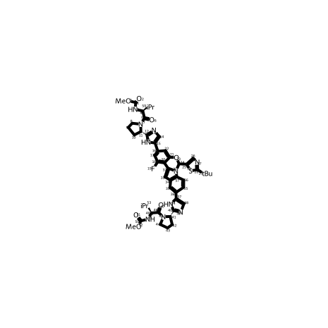 COC(=O)N[C@H](C(=O)N1CCC[C@H]1c1ncc(-c2cc(F)c3c(c2)OC(c2cnc(C(C)(C)C)s2)n2c-3cc3cc(-c4cnc([C@@H]5CCCN5C(=O)[C@@H](NC(=O)OC)C(C)C)[nH]4)ccc32)[nH]1)C(C)C